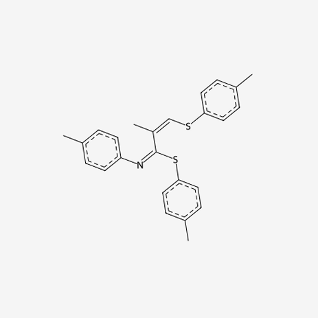 CC(=CSc1ccc(C)cc1)C(=Nc1ccc(C)cc1)Sc1ccc(C)cc1